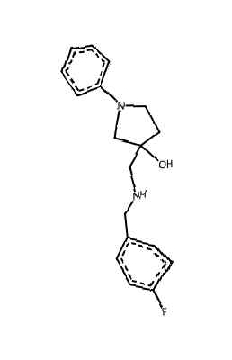 OC1(CNCc2ccc(F)cc2)CCN(c2ccccc2)C1